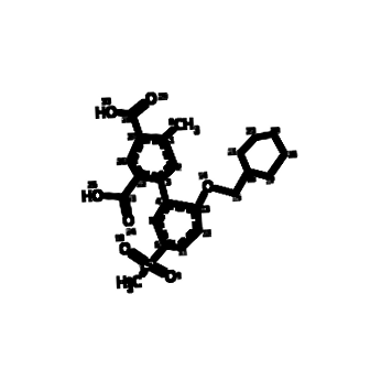 Cc1cc(-c2cc(S(C)(=O)=O)ccc2OCC2CCCCC2)c(C(=O)O)cc1C(=O)O